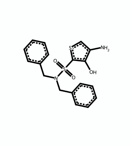 Nc1csc(S(=O)(=O)N(Cc2ccccc2)Cc2ccccc2)c1O